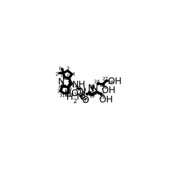 CC1(C)CCc2c1nc1c(c2NC(O)N=S(N)(=O)c2cc(CO)n(CC(O)CO)n2)CCC1